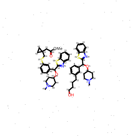 CN1CCC(OC(c2cccc(CCCCO)c2)c2nc3ccccc3s2)CC1.COC(=O)CC1(CSc2cccc(C(OC3CCN(C)CC3)c3nc4ccccc4s3)c2)CC1